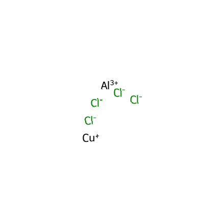 [Al+3].[Cl-].[Cl-].[Cl-].[Cl-].[Cu+]